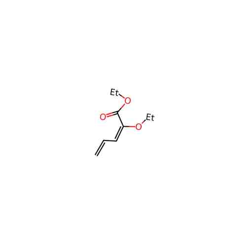 C=CC=C(OCC)C(=O)OCC